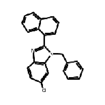 Clc1ccc2nc(-c3cccc4ccccc34)n(Cc3ccccc3)c2c1